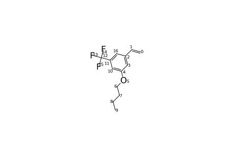 C=Cc1cc(OCCCC)cc(C(F)(F)F)c1